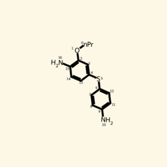 CCCOc1cc(Sc2ccc(N)cc2)ccc1N